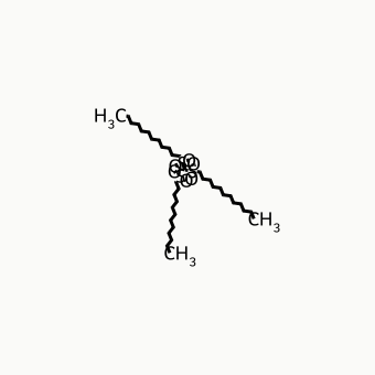 CCCCCCCCCCCCS(=O)(=O)C(S(=O)(=O)CCCCCCCCCCCC)S(=O)(=O)CCCCCCCCCCCC